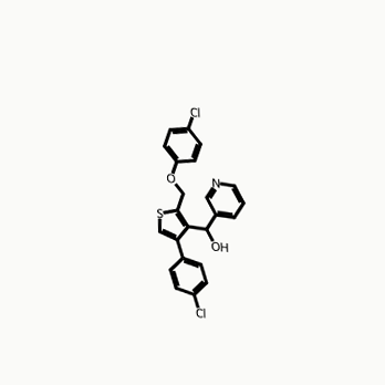 OC(c1cccnc1)c1c(-c2ccc(Cl)cc2)csc1COc1ccc(Cl)cc1